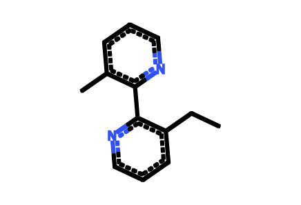 CCc1cccnc1-c1ncccc1C